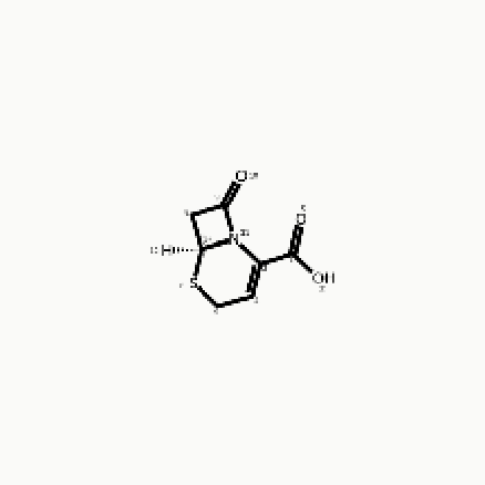 O=C(O)C1=CCS[C@H]2CC(=O)N12